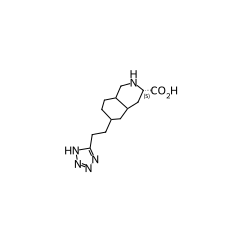 O=C(O)[C@@H]1CC2CC(CCc3nnn[nH]3)CCC2CN1